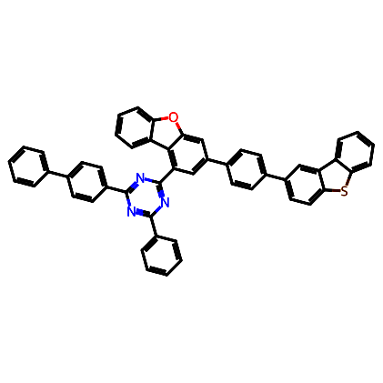 c1ccc(-c2ccc(-c3nc(-c4ccccc4)nc(-c4cc(-c5ccc(-c6ccc7sc8ccccc8c7c6)cc5)cc5oc6ccccc6c45)n3)cc2)cc1